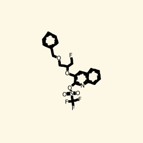 O=S(=O)(Oc1nc2ccccc2cc1OC(CF)COCc1ccccc1)C(F)(F)F